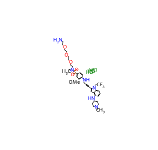 COc1cc(S(=O)(=O)N(C)CCOCCOCCOCCN)ccc1NCC#Cc1cc2c(NC3CCN(C)CC3)cccc2n1CC(F)(F)F.Cl.Cl.Cl